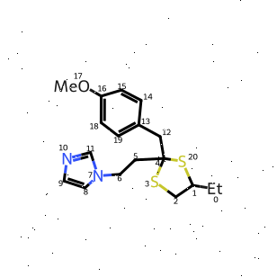 CCC1CSC(CCn2ccnc2)(Cc2ccc(OC)cc2)S1